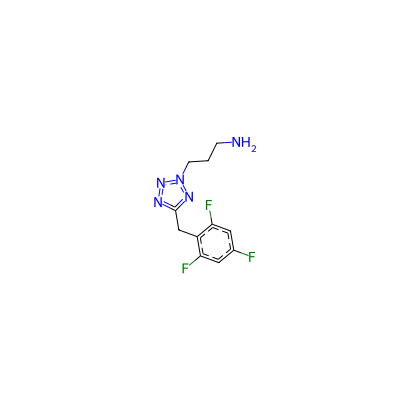 NCCCn1nnc(Cc2c(F)cc(F)cc2F)n1